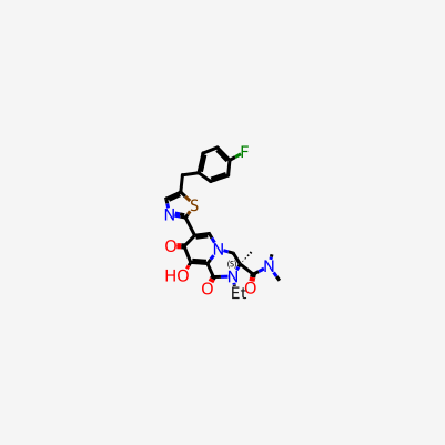 CCN1C(=O)c2c(O)c(=O)c(-c3ncc(Cc4ccc(F)cc4)s3)cn2C[C@@]1(C)C(=O)N(C)C